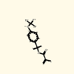 C=C(C)C(=O)OC(C)(C)c1ccc(OC(F)(F)F)cc1